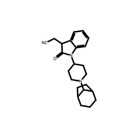 N#CCC1C(=O)N(C2CCN(C3C4CCCC3CC4)CC2)c2ccccc21